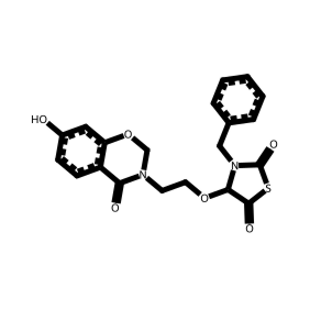 O=C1SC(=O)N(Cc2ccccc2)C1OCCN1COc2cc(O)ccc2C1=O